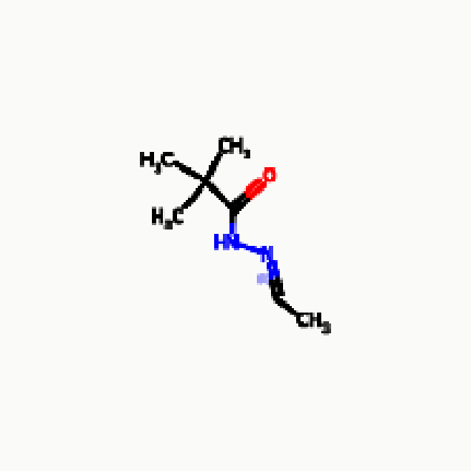 C/C=N/NC(=O)C(C)(C)C